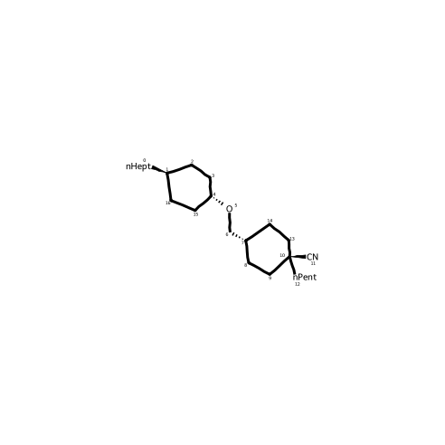 CCCCCCC[C@H]1CC[C@H](OC[C@H]2CC[C@@](C#N)(CCCCC)CC2)CC1